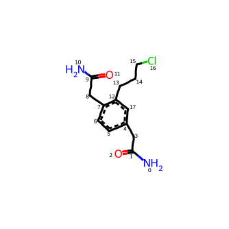 NC(=O)Cc1ccc(CC(N)=O)c(CCCCl)c1